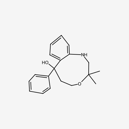 CC1(C)CNc2ccccc2C(O)(c2ccccc2)CCO1